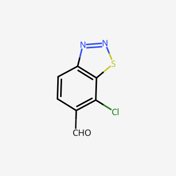 O=Cc1ccc2nnsc2c1Cl